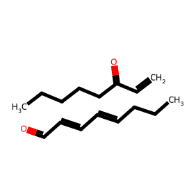 C=CC(=O)CCCCC.CCCC=CC=CC=O